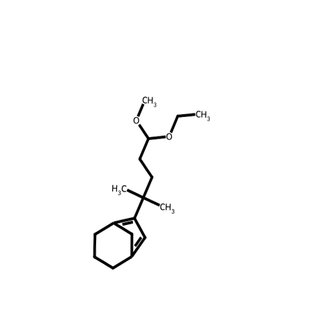 CCOC(CCC(C)(C)C1=C2CCCC(=C1)C2)OC